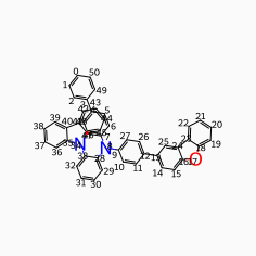 c1ccc(-c2ccc(N(c3ccc(-c4ccc5oc6ccccc6c5c4)cc3)c3ccccc3-n3c4ccccc4c4ccccc43)cc2)cc1